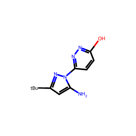 CC(C)(C)c1cc(N)n(-c2ccc(O)nn2)n1